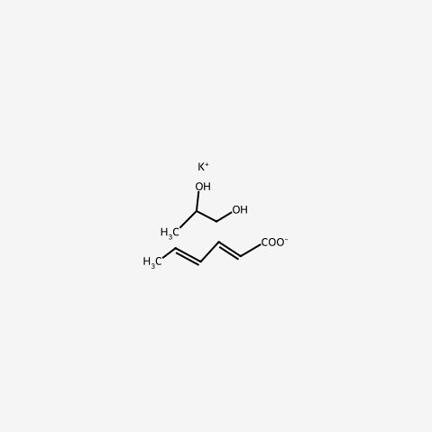 C/C=C/C=C/C(=O)[O-].CC(O)CO.[K+]